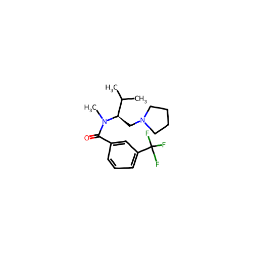 CC(C)[C@@H](CN1CCCC1)N(C)C(=O)c1cccc(C(F)(F)F)c1